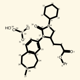 CC(C)OC(=O)CCC1CN(C2CCCCC2)C(=O)N1c1ccc2c(c1)CCN(C)CC2.Cl.[O-][S+](Cl)Cl